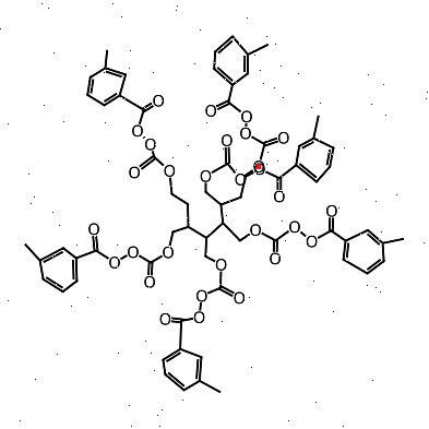 Cc1cccc(C(=O)OOC(=O)OCCC(COC(=O)OOC(=O)c2cccc(C)c2)C(COC(=O)OOC(=O)c2cccc(C)c2)C(COC(=O)OOC(=O)c2cccc(C)c2)C(CCOC(=O)OOC(=O)c2cccc(C)c2)COC(=O)OOC(=O)c2cccc(C)c2)c1